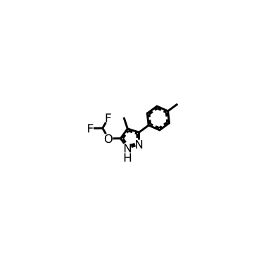 Cc1ccc(-c2n[nH]c(OC(F)F)c2C)cc1